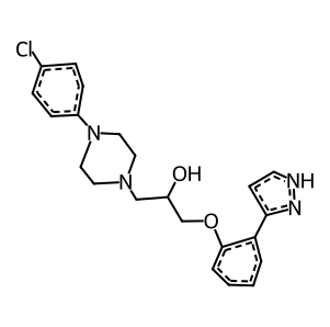 OC(COc1ccccc1-c1cc[nH]n1)CN1CCN(c2ccc(Cl)cc2)CC1